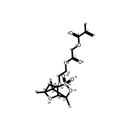 C=C(C)C(=O)OCC(=O)OCCOC1(C)C2(C)CC3C(O2)C1(C)OS3(=O)=O